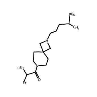 CCCCC(C)CCCN1CC2(CCN(C(=O)C(CC)CCCC)CC2)C1